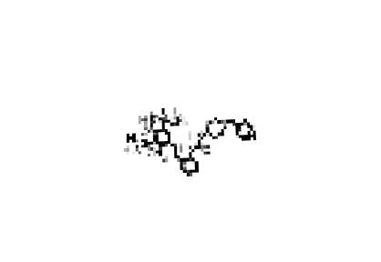 CC(C)(C)c1cc(CCc2ccccc2NC(=O)NC2CCN(Cc3ccncc3)CC2)cc(C(C)(C)C)c1O